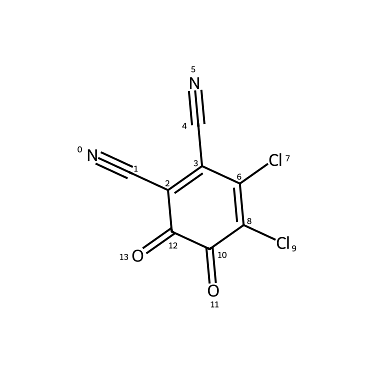 N#CC1=C(C#N)C(Cl)=C(Cl)C(=O)C1=O